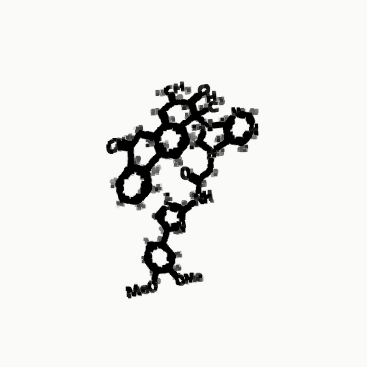 COc1ccc(-c2csc(NC(=O)CN3CN(C4(C)C(=O)C(C)C=c5c4ccc4c5=CC(=O)c5ccccc5-4)c4ncncc43)n2)cc1OC